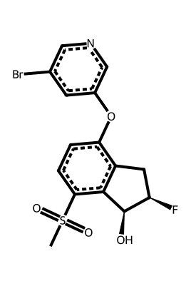 CS(=O)(=O)c1ccc(Oc2cncc(Br)c2)c2c1[C@H](O)[C@H](F)C2